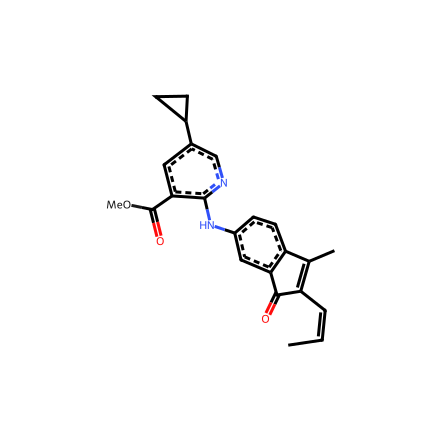 C/C=C\C1=C(C)c2ccc(Nc3ncc(C4CC4)cc3C(=O)OC)cc2C1=O